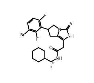 C[C@@H](NC(=O)Cc1[nH]c(=S)n2c1CC(c1c(F)ccc(Br)c1F)C2)C1CCCCC1